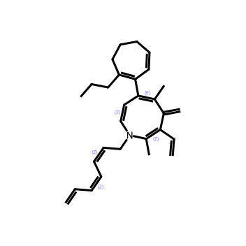 C=C/C=C\C=C/CN1/C=C\C(C2=C(CCC)CCCC=C2)=C(\C)C(=C)/C(C=C)=C\1C